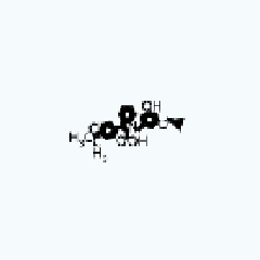 CC(C)(C)c1ccc(-c2c(C(=O)O)n(Cc3cc(O)cc(OCC4CC4)c3)c3ccccc23)cc1